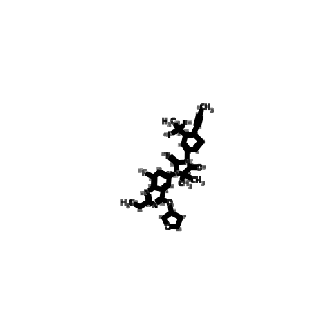 CC#Cc1ccc(N2C(=O)C(C)(C)N(c3cc(F)c4nc(CC)nc(OC5CCOC5)c4c3)C2=S)cc1C(C)(F)F